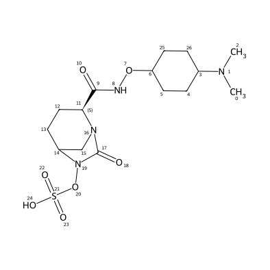 CN(C)C1CCC(ONC(=O)[C@@H]2CCC3CN2C(=O)N3OS(=O)(=O)O)CC1